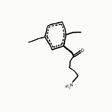 Cc1ccc(C)c(C(=O)CCN)c1